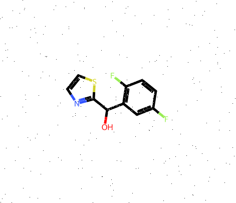 OC(c1nccs1)c1cc(F)ccc1F